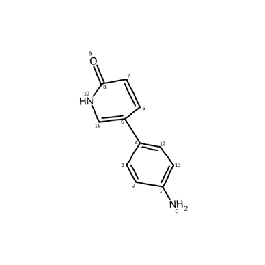 Nc1ccc(-c2ccc(=O)[nH]c2)cc1